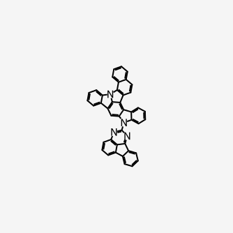 c1ccc2c(c1)-c1cccc3nc(-n4c5ccccc5c5c6c7ccc8ccccc8c7n7c8ccccc8c(cc54)c67)nc-2c13